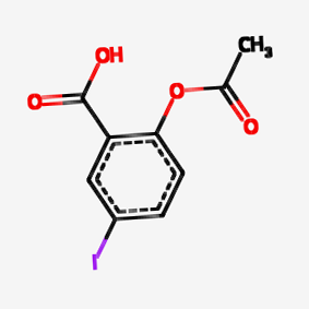 CC(=O)Oc1ccc(I)cc1C(=O)O